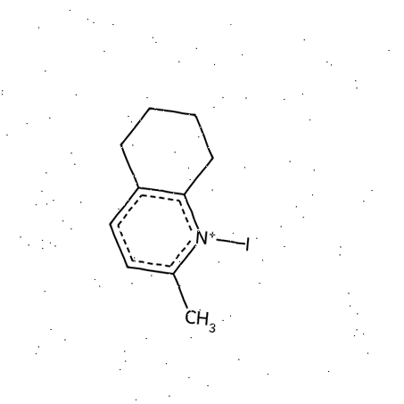 Cc1ccc2c([n+]1I)CCCC2